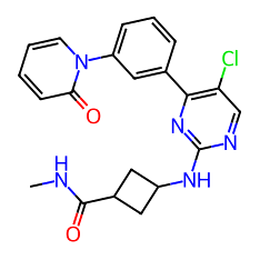 CNC(=O)C1CC(Nc2ncc(Cl)c(-c3cccc(-n4ccccc4=O)c3)n2)C1